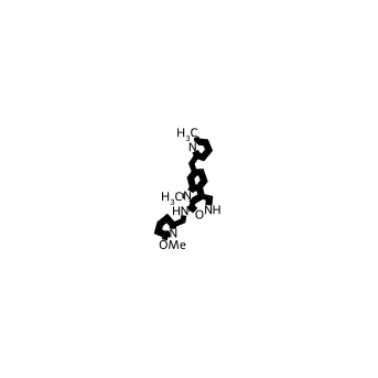 COc1cccc(CNC(=O)c2c(C=N)c3ccc(Cc4cccc(C)n4)cc3n2C)n1